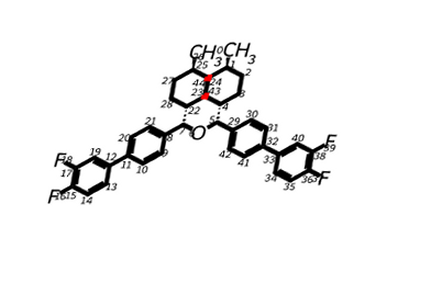 C[C@H]1CC[C@H](C(OC(c2ccc(-c3ccc(F)c(F)c3)cc2)[C@H]2CC[C@H](C)CC2)c2ccc(-c3ccc(F)c(F)c3)cc2)CC1